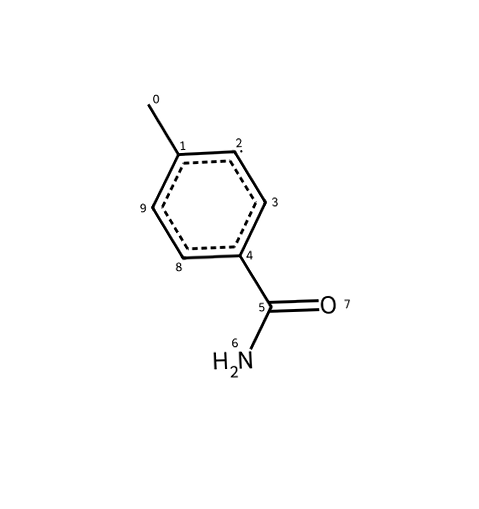 Cc1[c]cc(C(N)=O)cc1